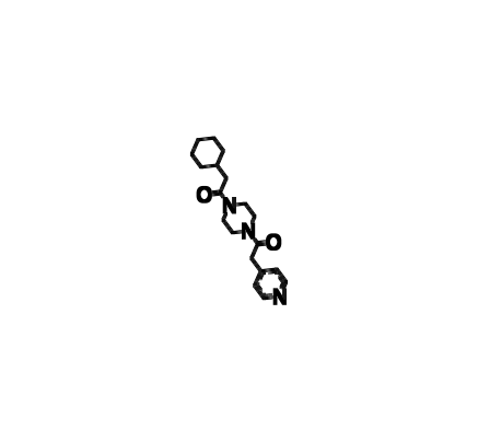 O=C(Cc1ccncc1)N1CCN(C(=O)CC2CCCCC2)CC1